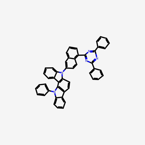 c1ccc(-c2nc(-c3ccccc3)nc(-c3cccc4cc(-n5c6ccccc6c6c5ccc5c7ccccc7n(-c7ccccc7)c56)ccc34)n2)cc1